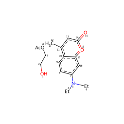 CC(=O)OCCO.CCN(CC)c1ccc2c(C)cc(=O)oc2c1